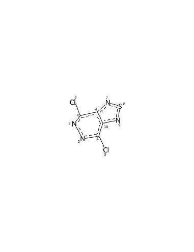 Clc1nnc(Cl)c2nsnc12